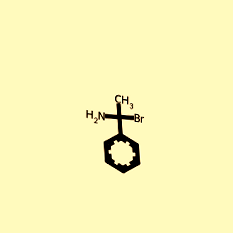 CC(N)(Br)c1ccccc1